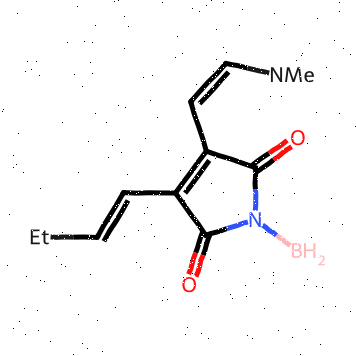 BN1C(=O)C(/C=C\NC)=C(/C=C/CC)C1=O